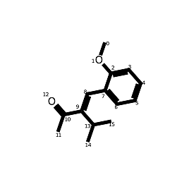 COc1ccccc1/C=C(/C(C)=O)C(C)C